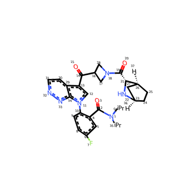 CC(C)N(C(=O)c1cc(F)ccc1-n1cc(C(=O)C2CN(C(=O)[C@H]3N[C@@H]4CC[C@H]3C4)C2)c2ccnnc21)C(C)C